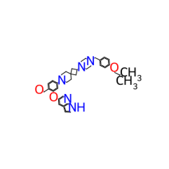 CC(C)COc1ccc(CN2CCN(C3CC4(CCN(c5ccc(C=O)c(Oc6cnc7[nH]ccc7c6)c5)CC4)C3)CC2)cc1